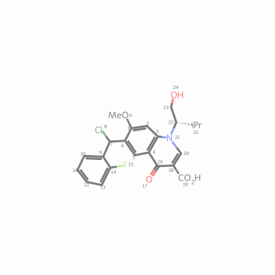 COc1cc2c(cc1C(Cl)c1ccccc1F)c(=O)c(C(=O)O)cn2[C@H](CO)C(C)C